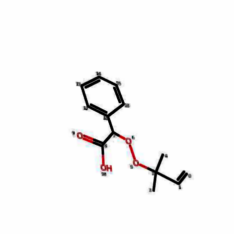 C=CC(C)(C)OOC(C(=O)O)c1ccccc1